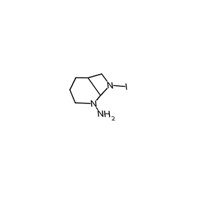 NN1CCCC2CN(I)C21